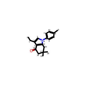 CCc1cn(-c2ccc(C)cc2)c2c1C(=O)CC(C)(C)C2